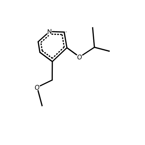 COCc1ccn[c]c1OC(C)C